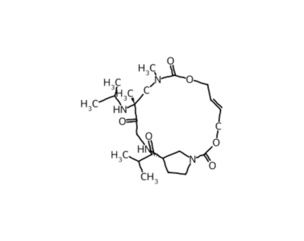 CC(C)N[C@]1(C)CN(C)C(=O)OC/C=C/COC(=O)N2CC[C@](C(=O)C(C)C)(C2)NCC1=O